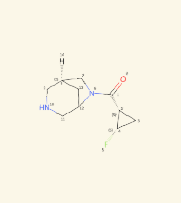 O=C([C@@H]1C[C@@H]1F)N1C[C@@H]2CNCC1C2